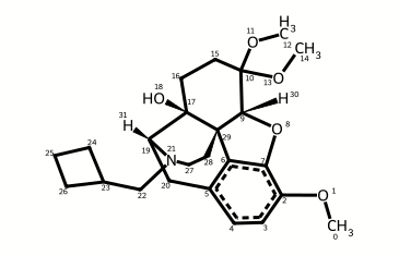 COc1ccc2c3c1O[C@H]1C(OC)(OC)CC[C@@]4(O)[C@@H](C2)N(CC2CCC2)CC[C@]314